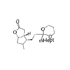 CCCCCCCC1(CC[C@H]2C(C)CC3OC(=O)C[C@@H]32)OCCCO1